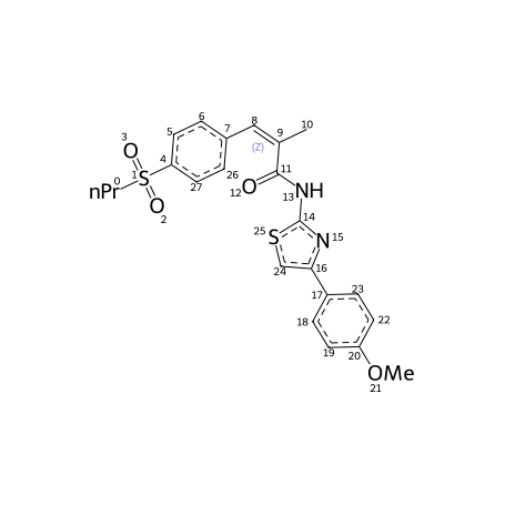 CCCS(=O)(=O)c1ccc(/C=C(/C)C(=O)Nc2nc(-c3ccc(OC)cc3)cs2)cc1